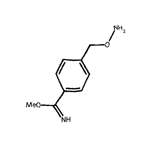 COC(=N)c1ccc(CON)cc1